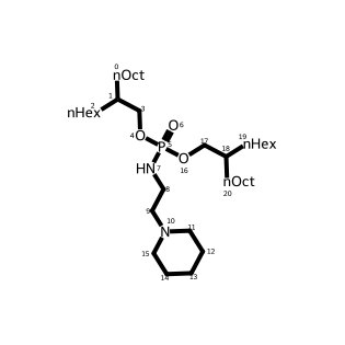 CCCCCCCCC(CCCCCC)COP(=O)(NCCN1CCCCC1)OCC(CCCCCC)CCCCCCCC